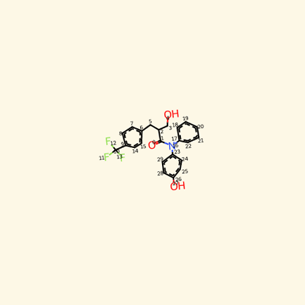 O=C(C(CO)Cc1ccc(C(F)(F)F)cc1)N(c1ccccc1)c1ccc(O)cc1